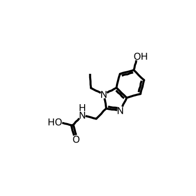 CCn1c(CNC(=O)O)nc2ccc(O)cc21